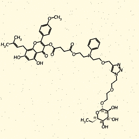 CC[C@@H]1O[C@H](OCCOCCn2cc(COCCN(CCOC(=O)CCC(=O)Oc3c(-c4ccc(OC)cc4)oc4c(CC=C(C)C)c(O)cc(O)c4c3=O)c3ccccc3)nn2)[C@@H](O)[C@H](O)[C@H]1O